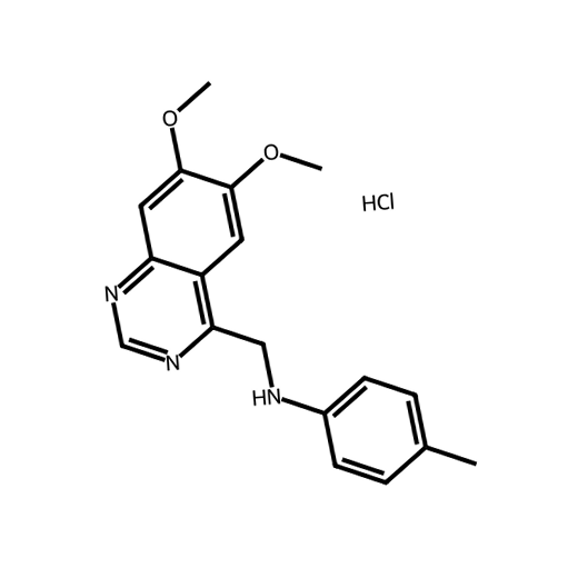 COc1cc2ncnc(CNc3ccc(C)cc3)c2cc1OC.Cl